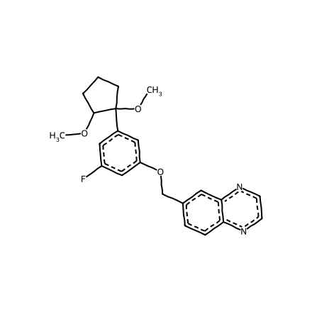 COC1CCCC1(OC)c1cc(F)cc(OCc2ccc3nccnc3c2)c1